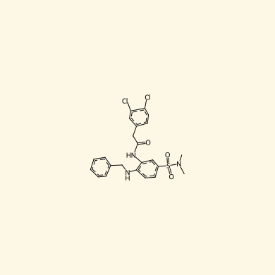 CN(C)S(=O)(=O)c1ccc(NCc2ccccc2)c(NC(=O)Cc2ccc(Cl)c(Cl)c2)c1